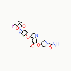 CNC(=O)CN1CCC(Oc2cc3nccc(Oc4ccc(NC(=O)C5(C(=O)CI)CC5)cc4F)c3cc2OC)CC1